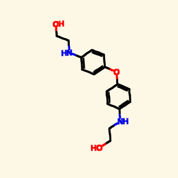 OCCNc1ccc(Oc2ccc(NCCO)cc2)cc1